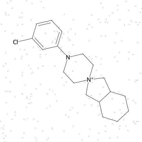 Clc1cccc(N2CC[N+]3(CC2)CC2CCCCC2C3)c1